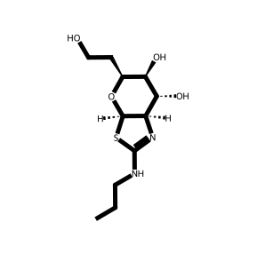 CCCNC1=N[C@@H]2[C@@H](O)[C@H](O)[C@H](CCO)O[C@@H]2S1